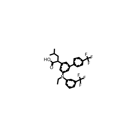 CCN(c1cc(-c2ccc(C(F)(F)F)cc2)cc(C(CC(C)C)C(=O)O)c1)c1cccc(C(F)(F)F)c1